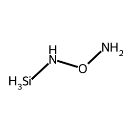 NON[SiH3]